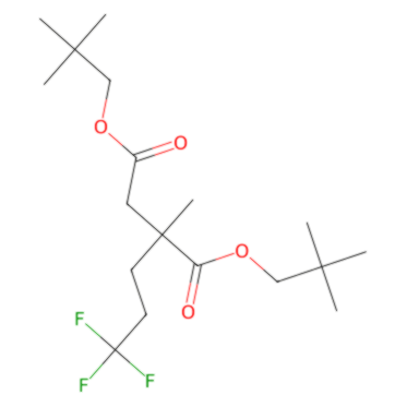 CC(C)(C)COC(=O)CC(C)(CCC(F)(F)F)C(=O)OCC(C)(C)C